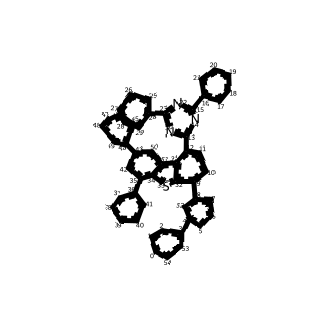 c1ccc(-c2cccc(-c3ccc(-c4nc(-c5ccccc5)nc(-c5ccccc5)n4)c4c3sc3c(-c5ccccc5)cc(-c5ccccc5)cc34)c2)cc1